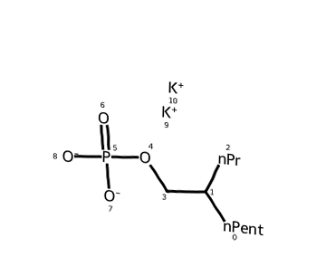 CCCCCC(CCC)COP(=O)([O-])[O-].[K+].[K+]